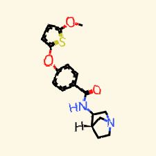 COc1ccc(Oc2ccc(C(=O)NC3CN4CC[C@H]3C4)cc2)s1